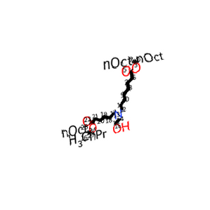 CCCCCCCCC(CCCCCCCC)OC(=O)CCCCCCCN(CCO)CCCCCC(=O)OC(C)(CCC)CCCCCCCC